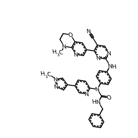 CN1CCOc2cc(-c3nc(Nc4ccc(N(C(=O)NCc5ccccc5)c5ccc(-c6cnn(C)c6)cn5)cc4)ncc3C#N)cnc21